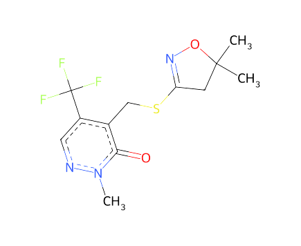 Cn1ncc(C(F)(F)F)c(CSC2=NOC(C)(C)C2)c1=O